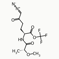 CO[C@H](C)C(=O)N[C@@H](CCC(=O)C=[N+]=[N-])C(=O)OC(F)(F)F